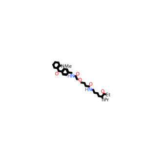 CCCC(CCCCNC(=O)CCCOCC(=O)NCc1ccc(C(=O)C2=C(NC)CCCC2)cc1)C(=O)CC